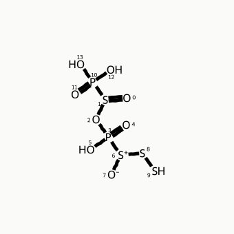 O=S(OP(=O)(O)[S+]([O-])SS)P(=O)(O)O